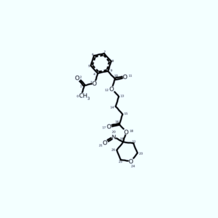 CC(=O)Oc1ccccc1C(=O)OCCCC(=O)OC1(N=O)CCOCC1